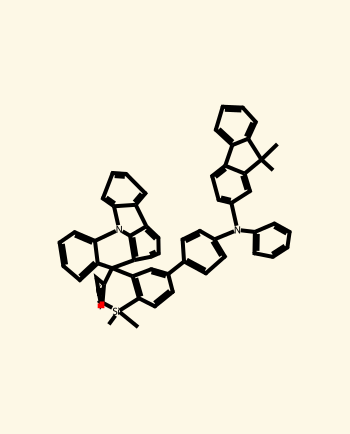 CC1(C)c2ccccc2-c2ccc(N(c3ccccc3)c3ccc(-c4ccc5c(c4)C4(c6ccccc6-n6c7ccccc7c7cccc4c76)c4ccccc4[Si]5(C)C)cc3)cc21